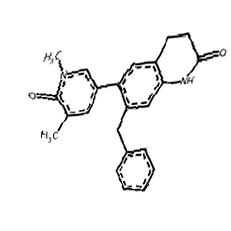 Cc1cc(-c2cc3c(cc2Cc2ccccc2)NC(=O)CC3)cn(C)c1=O